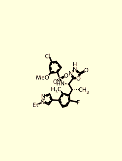 CCn1cc(-c2ccc(F)c([C@@H](C)[C@H](NS(=O)(=O)c3ccc(Cl)cc3OC)c3n[nH]c(=O)o3)c2C)cn1